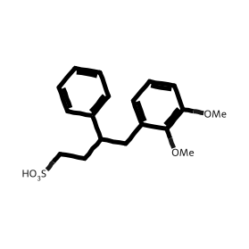 COc1cccc(CC(CCS(=O)(=O)O)c2ccccc2)c1OC